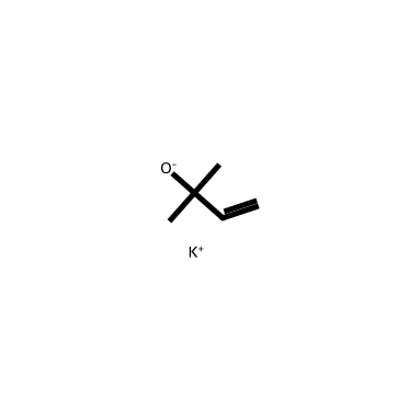 C=CC(C)(C)[O-].[K+]